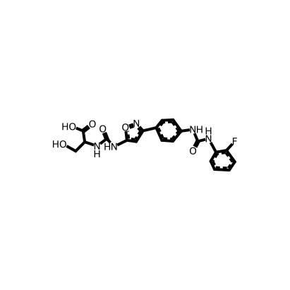 O=C(Nc1ccc(-c2cc(NC(=O)NC(CO)C(=O)O)on2)cc1)Nc1ccccc1F